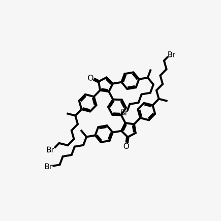 CC(CCCCCBr)c1ccc(C2=CC(=O)C(c3ccc(C(C)CCCCCBr)cc3)=C2c2ccc(C3=C(c4ccc(C(C)CCCCCBr)cc4)C(=O)C=C3c3ccc(C(C)CCCCCBr)cc3)cc2)cc1